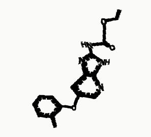 CCOC(=O)Nc1nc2cc(Oc3ccccc3C)cnc2[nH]1